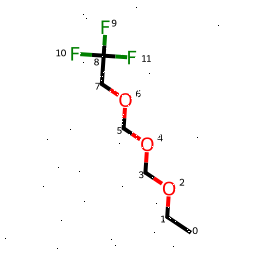 CCOCOCOCC(F)(F)F